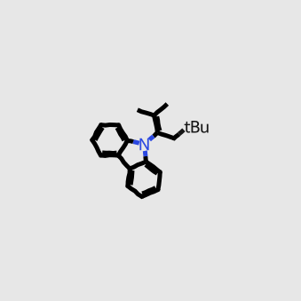 CC(C)=C(CC(C)(C)C)n1c2ccccc2c2ccccc21